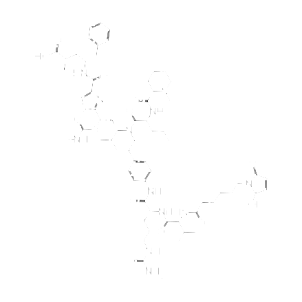 CC[C@H](C)[C@H](NC(=O)[C@H]1CCCCN1C)C(=O)N(CCc1ccc(NC(=O)[C@H](CCCNC(N)=O)NC(=O)[C@@H](NC(=O)CCCCCN2C(=O)C=CC2O)C(C)C)cc1)[C@H](C[C@@H](OC(=O)NC)c1nc(C(=O)N[C@@H](Cc2ccccc2)C[C@@H](C)C(=O)O)cs1)C(C)C